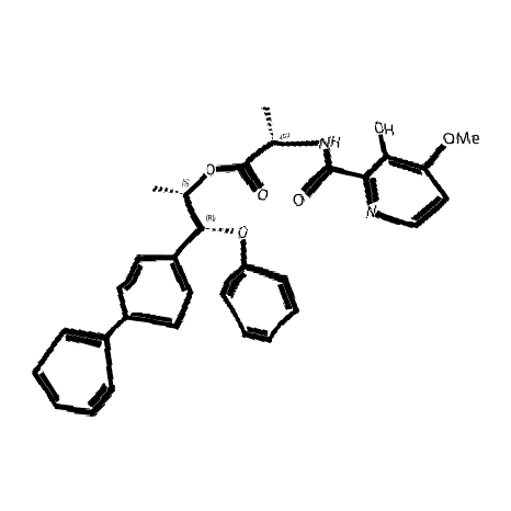 COc1ccnc(C(=O)N[C@@H](C)C(=O)O[C@@H](C)[C@H](Oc2ccccc2)c2ccc(-c3ccccc3)cc2)c1O